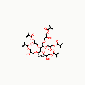 C=C(C)C(=O)OCC(O)COC[C@@H](OCC(O)COC(=O)C(=C)C)[C@@H](OCC(O)COC(=O)C(=C)C)[C@H](OCC(O)COC(=O)C(=C)C)[C@H](C=O)OCC(O)COC(=O)C(=C)C